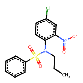 CCCN(c1ccc(Cl)cc1[N+](=O)[O-])S(=O)(=O)c1ccccc1